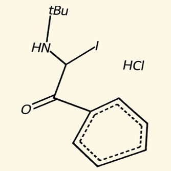 CC(C)(C)NC(I)C(=O)c1ccccc1.Cl